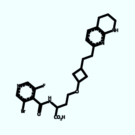 O=C(NC(CCOC1CC(CCc2ccc3c(n2)NCCC3)C1)C(=O)O)c1c(F)cncc1Br